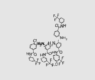 COc1ccc(NC(=O)c2ccc(C)c(N)c2)cc1C(F)(F)F.Cc1ccc(C(=O)Nc2cccc(C(F)(F)F)c2)cc1N.Nc1cc(C(=O)Nc2cccc(C(F)(F)F)c2)ccc1Cl.Nc1cccc(C(=O)Nc2cccc(C(F)(F)F)c2)c1